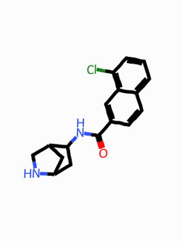 O=C(NC1CC2CC1CN2)c1ccc2cccc(Cl)c2c1